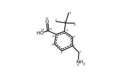 CC(C)(C)c1cc(CN)ccc1C(=O)O